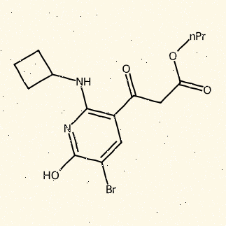 CCCOC(=O)CC(=O)c1cc(Br)c(O)nc1NC1CCC1